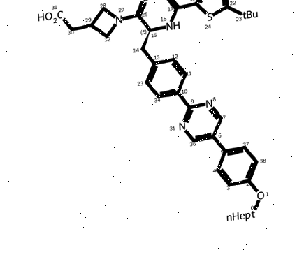 CCCCCCCOc1ccc(-c2cnc(-c3ccc(C[C@H](NC(=O)c4ccc(C(C)(C)C)s4)C(=O)N4CC(CC(=O)O)C4)cc3)nc2)cc1